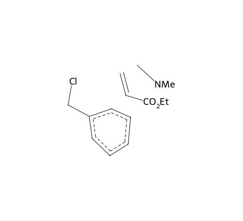 C=CC(=O)OCC.CNC.ClCc1ccccc1